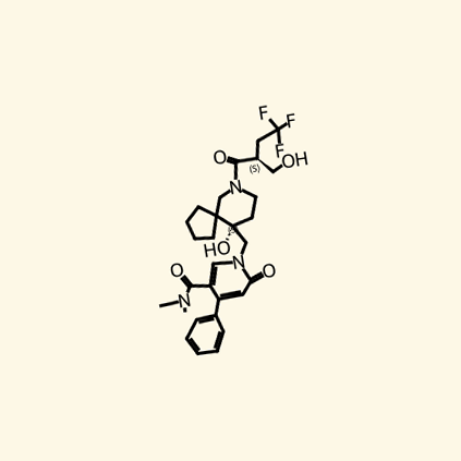 CN(C)C(=O)c1cn(C[C@]2(O)CCN(C(=O)[C@H](CO)CC(F)(F)F)CC23CCCC3)c(=O)cc1-c1ccccc1